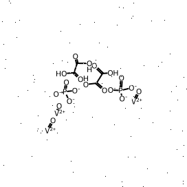 O=C(O)C(=O)O.O=C(O)C(=O)O.O=P([O-])([O-])[O-].O=P([O-])([O-])[O-].[O]=[V+2].[O]=[V+2].[O]=[V+2]